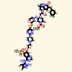 Cc1n[nH]c(Nc2ncnc3cc(OCCCN4CCN(c5ncc(OC[C@H]6CN(C[C@H]7CN(C(=O)OC(C)(C)C)[C@H](C)CN7CC(=O)N7CC(C)(C)c8[nH]c(=O)c(Cc9ccc(F)cc9)cc87)CCO6)cn5)CC4)c(S(=O)(=O)C(C)(C)C)cc23)c1C